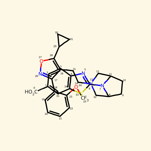 O=C(O)c1ccc2nc(N3C4CCC3CN(CCc3c(-c5ccccc5OC(F)(F)F)noc3C3CC3)C4)sc2c1